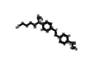 CNc1ccc(/C=C/c2ccc(C(C)OCCCF)cc2)cc1